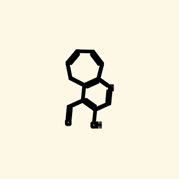 O=Cc1c(O)cnc2c1CC=CC=C2